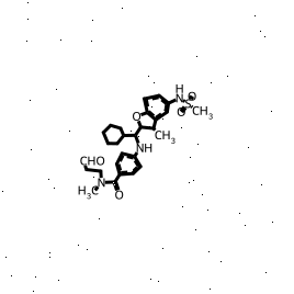 CC1c2cc(NS(C)(=O)=O)ccc2OC1C(Nc1ccc(C(=O)N(C)CCC=O)cc1)C1CCCCC1